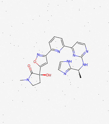 C[C@H](Nc1nccc(-c2cccc(-c3cc([C@]4(O)CCN(C)C4=O)on3)n2)n1)c1ncc[nH]1